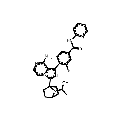 CC(O)N1C2CCC1(c1nc(-c3ccc(C(=O)Nc4ccccn4)cc3F)c3c(N)nccn13)CC2